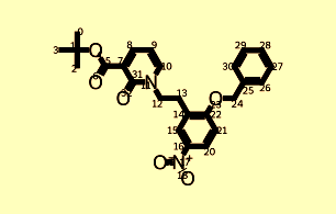 CC(C)(C)OC(=O)c1cccn(CCc2cc([N+](=O)[O-])ccc2OCc2ccccc2)c1=O